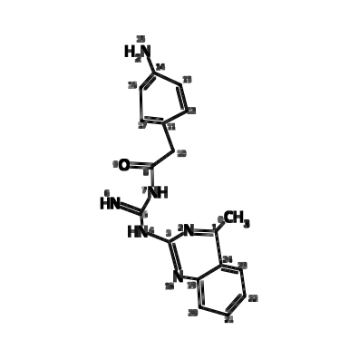 Cc1nc(NC(=N)NC(=O)Cc2ccc(N)cc2)nc2ccccc12